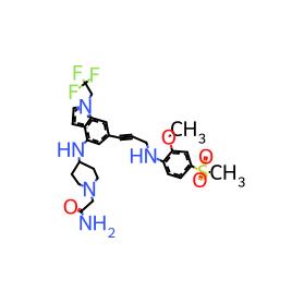 COc1cc(S(C)(=O)=O)ccc1NCC#Cc1cc(NC2CCN(CC(N)=O)CC2)c2ccn(CC(F)(F)F)c2c1